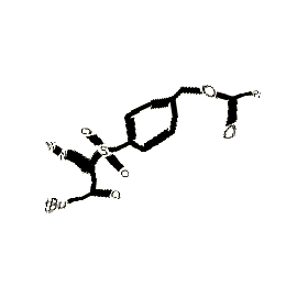 CC(C)C(=O)Oc1ccc(S(=O)(=O)C(=[N+]=[N-])C(=O)C(C)(C)C)cc1